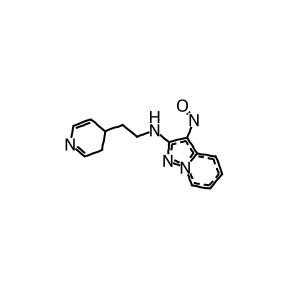 O=Nc1c(NCCC2C=CN=CC2)nn2ccccc12